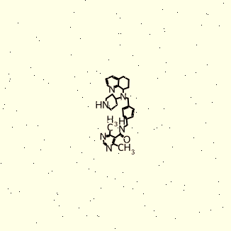 Cc1ncnc(C)c1C(=O)NCc1ccc(CN(C2CCNCC2)C2CCCc3cccnc32)cc1